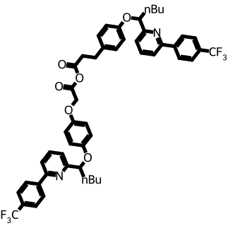 CCCCC(Oc1ccc(CCC(=O)OC(=O)COc2ccc(OC(CCCC)c3cccc(-c4ccc(C(F)(F)F)cc4)n3)cc2)cc1)c1cccc(-c2ccc(C(F)(F)F)cc2)n1